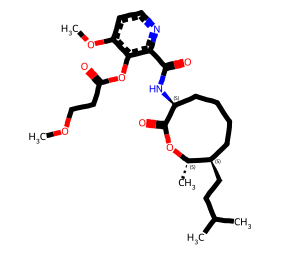 COCCC(=O)Oc1c(OC)ccnc1C(=O)N[C@H]1CCCC[C@@H](CCC(C)C)[C@H](C)OC1=O